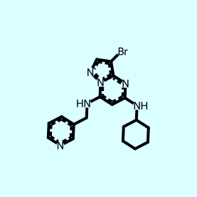 Brc1cnn2c(NCc3cccnc3)cc(NC3CCCCC3)nc12